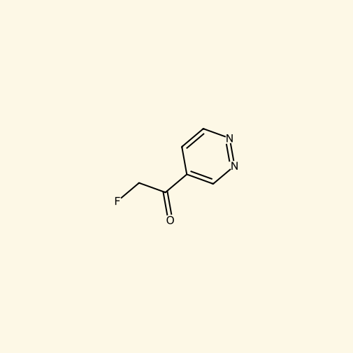 O=C(CF)c1ccnnc1